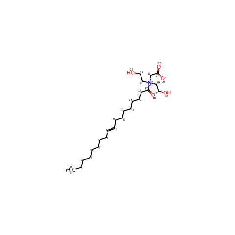 CCCCCCCC/C=C/CCCCCCCC(=O)[N+](CCO)(CCO)CC(=O)[O-]